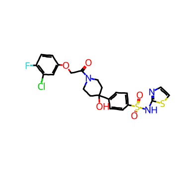 O=C(COc1ccc(F)c(Cl)c1)N1CCC(O)(c2ccc(S(=O)(=O)Nc3nccs3)cc2)CC1